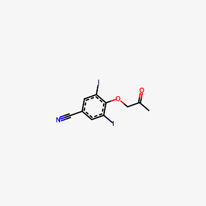 CC(=O)COc1c(I)cc(C#N)cc1I